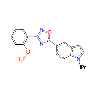 CC(C)n1ccc2cc(-c3nc(-c4ccccc4OP)no3)ccc21